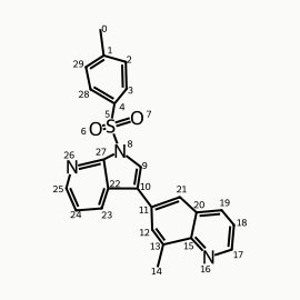 Cc1ccc(S(=O)(=O)n2cc(-c3cc(C)c4ncccc4c3)c3cccnc32)cc1